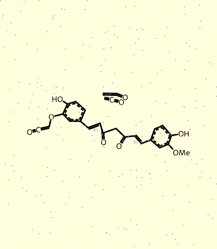 C=C=O.C=C=O.COc1cc(/C=C/C(=O)CC(=O)/C=C/c2ccc(O)c(OC=C=O)c2)ccc1O